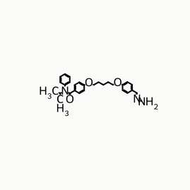 CC(C)N(C(=O)c1ccc(OCCCCCOc2ccc(C=NN)cc2)cc1)c1ccccc1